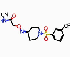 N#CNC(=O)CON=C1CCN(S(=O)(=O)c2cccc(C(F)(F)F)c2)CC1